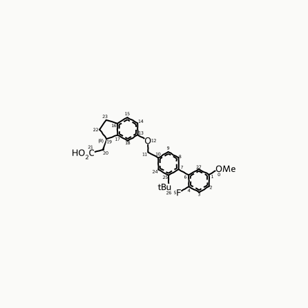 COc1ccc(F)c(-c2ccc(COc3ccc4c(c3)[C@@H](CC(=O)O)CC4)cc2C(C)(C)C)c1